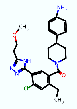 CCc1cc(Cl)c(-c2nnc(CCOC)[nH]2)cc1C(=O)N1CCC(c2ccc(N)cc2)CC1